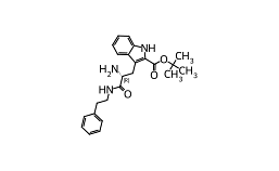 CC(C)(C)OC(=O)c1[nH]c2ccccc2c1C[C@@H](N)C(=O)NCCc1ccccc1